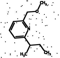 CCC(C)c1cccc(COC)n1